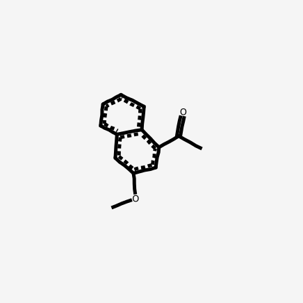 COc1cc(C(C)=O)c2ccccc2c1